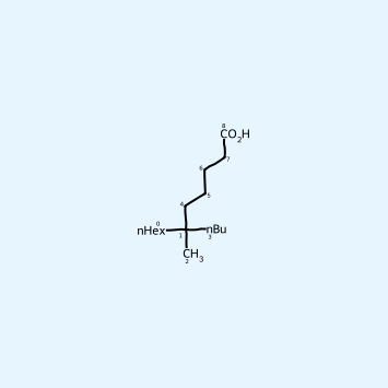 CCCCCCC(C)(CCCC)CCCCC(=O)O